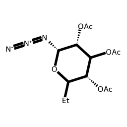 CCC1O[C@H](N=[N+]=[N-])[C@H](OC(C)=O)C(OC(C)=O)[C@@H]1OC(C)=O